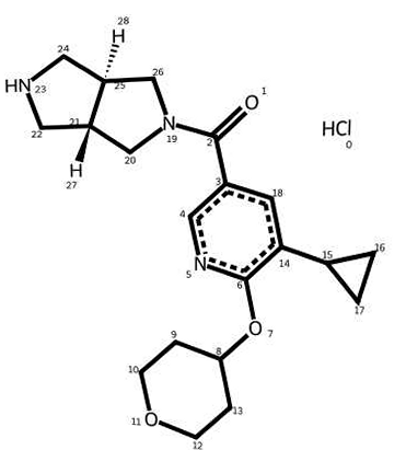 Cl.O=C(c1cnc(OC2CCOCC2)c(C2CC2)c1)N1C[C@@H]2CNC[C@H]2C1